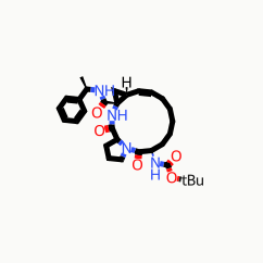 C[C@@H](NC(=O)[C@@]12C[C@H]1/C=C\CCCCC[C@H](NC(=O)OC(C)(C)C)C(=O)N1CCCC1C(=O)N2)c1ccccc1